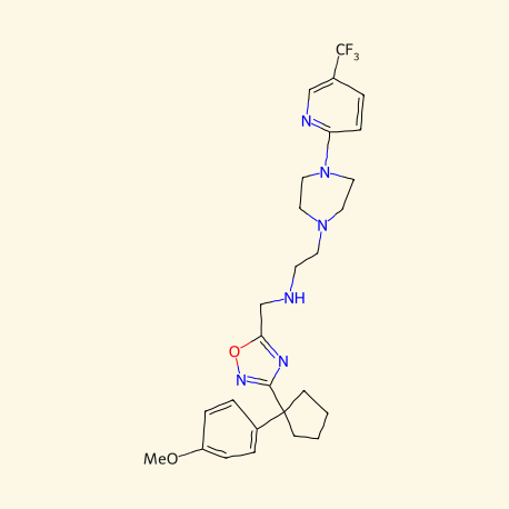 COc1ccc(C2(c3noc(CNCCN4CCN(c5ccc(C(F)(F)F)cn5)CC4)n3)CCCC2)cc1